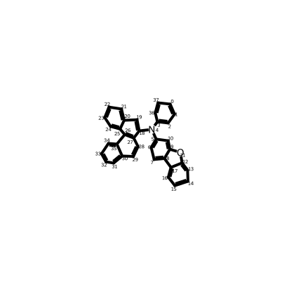 c1ccc(N(c2ccc3c(c2)oc2ccccc23)c2cc3ccccc3c3c2ccc2ccccc23)cc1